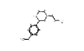 N#CCc1ccc(C2CN(CCO)CCO2)cc1